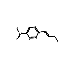 CCC=Cc1ccc([SiH](C)C)cc1